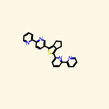 c1ccc(-c2ccc(-c3sc(-c4cccc(-c5ccccn5)n4)c4c3CCC4)cn2)nc1